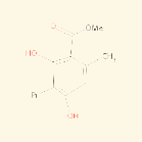 COC(=O)c1c(C)cc(O)c(C(C)C)c1O